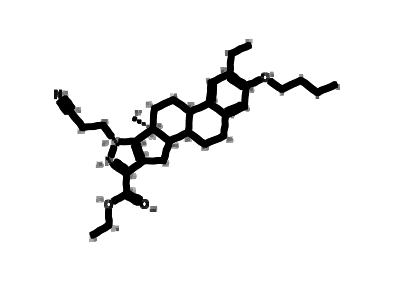 CCCCOc1cc2c(cc1CC)C1CC[C@]3(C)c4c(c(C(=O)OCC)nn4CCC#N)CC3C1CC2